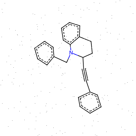 C(#CC1CCc2ccccc2N1Cc1ccccc1)c1ccccc1